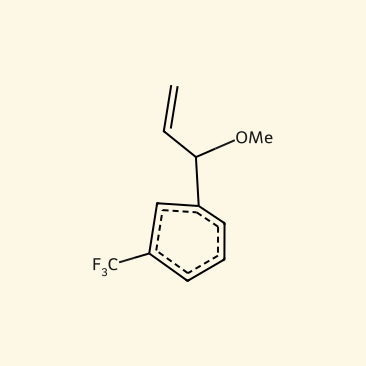 C=CC(OC)c1cccc(C(F)(F)F)c1